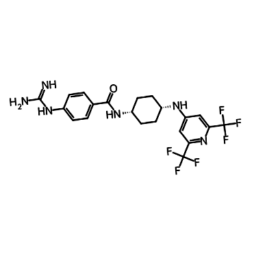 N=C(N)Nc1ccc(C(=O)N[C@H]2CC[C@@H](Nc3cc(C(F)(F)F)nc(C(F)(F)F)c3)CC2)cc1